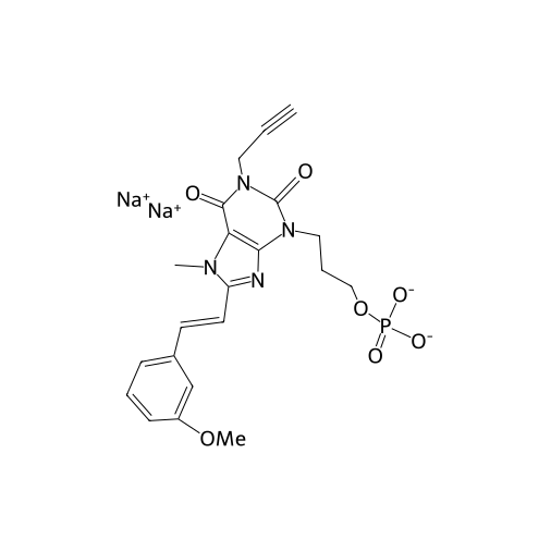 C#CCn1c(=O)c2c(nc(C=Cc3cccc(OC)c3)n2C)n(CCCOP(=O)([O-])[O-])c1=O.[Na+].[Na+]